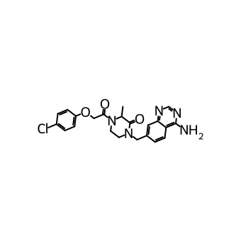 CC1C(=O)N(Cc2ccc3c(N)ncnc3c2)CCN1C(=O)COc1ccc(Cl)cc1